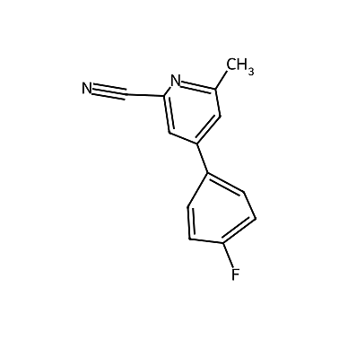 Cc1cc(-c2ccc(F)cc2)cc(C#N)n1